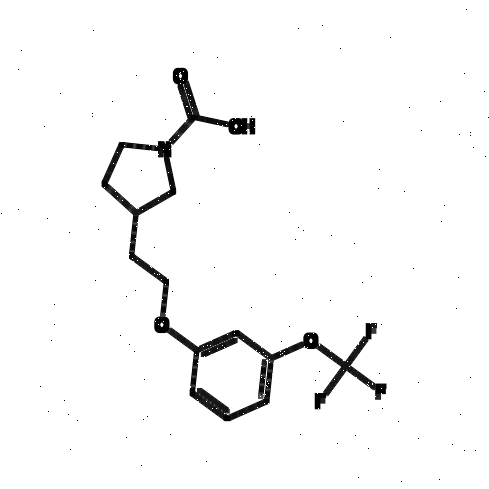 O=C(O)N1CCC(CCOc2cccc(OC(F)(F)F)c2)C1